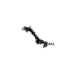 COc1ccc(F)cc1C(=O)NCc1ccc(-c2nn(C3CCN([C@H]4C[C@H](N5CCN(c6ccc7c(c6)CN([C@@H]6CCC(=O)NC6=O)C7=O)CC5)C4)CC3)c3ncnc(N)c23)cc1